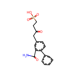 NC(=O)c1cc(CC(=O)CCS(=O)(=O)O)ccc1-c1ccccc1